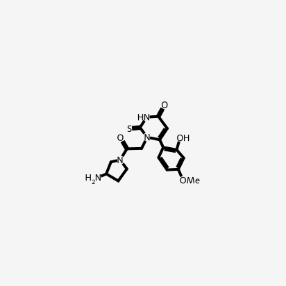 COc1ccc(-c2cc(=O)[nH]c(=S)n2CC(=O)N2CCC(N)C2)c(O)c1